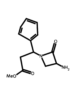 COC(=O)CC(c1ccccc1)N1CC(N)C1=O